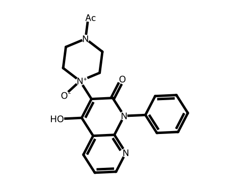 CC(=O)N1CC[N+]([O-])(c2c(O)c3cccnc3n(-c3ccccc3)c2=O)CC1